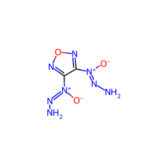 NN=[N+]([O-])c1nonc1[N+]([O-])=NN